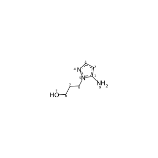 Nc1ccnn1CCCO